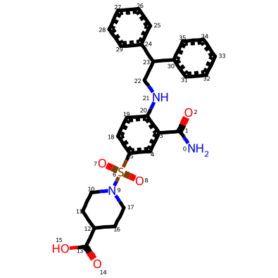 NC(=O)c1cc(S(=O)(=O)N2CCC(C(=O)O)CC2)ccc1NCC(c1ccccc1)c1ccccc1